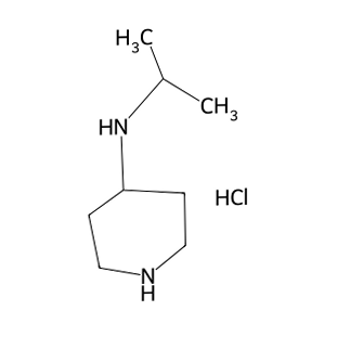 CC(C)NC1CCNCC1.Cl